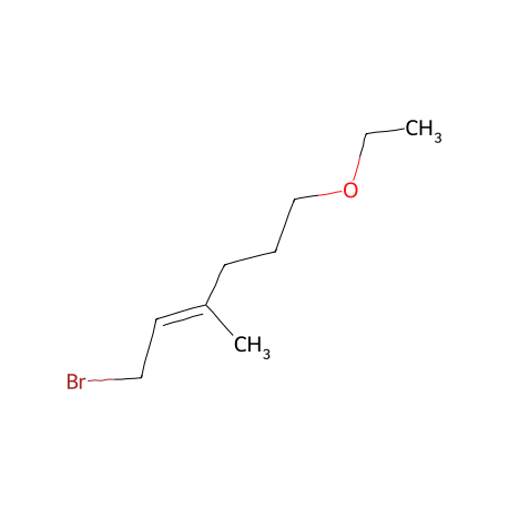 CCOCCC/C(C)=C/CBr